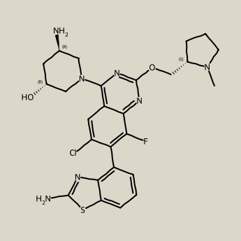 CN1CCC[C@H]1COc1nc(N2C[C@H](N)C[C@@H](O)C2)c2cc(Cl)c(-c3cccc4sc(N)nc34)c(F)c2n1